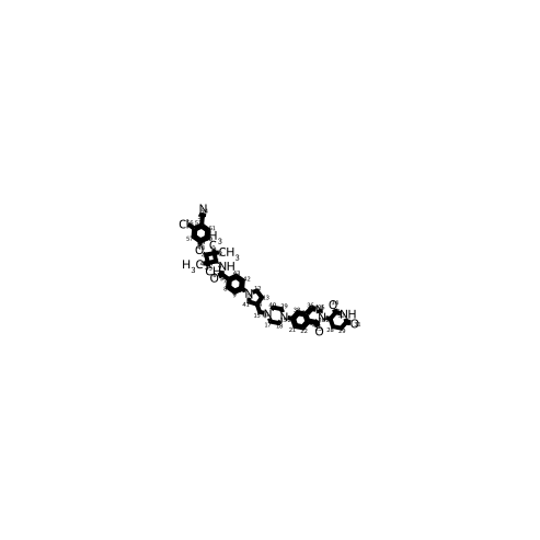 CC1(C)[C@H](NC(=O)c2ccc(N3CCC(CN4CCN(c5ccc6c(=O)n(C7CCC(=O)NC7=O)ncc6c5)CC4)C3)cc2)C(C)(C)[C@H]1Oc1ccc(C#N)c(Cl)c1